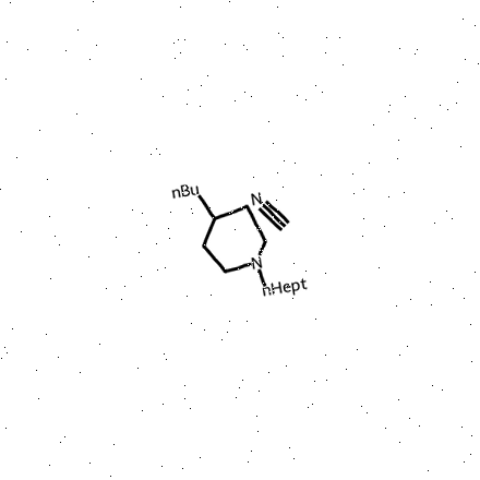 C#N.CCCCCCCN1CCC(CCCC)CC1